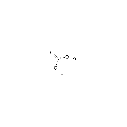 CCO[N+](=O)[O-].[Zr]